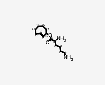 NCCCC[C@H](N)C(=O)OC1/C=C/CCCCC1